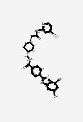 CC(C)c1cc(C#N)cc2nc(-c3ccc(C(=O)NC[C@H]4CC[C@H](CC(=O)Nc5cc(C(F)(F)F)ccn5)CC4)cc3)oc12